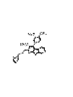 CCOC(=O)c1c(CCCn2cncn2)nc2sc3cnccc3c2c1-c1ccc(OC)c(OC)c1